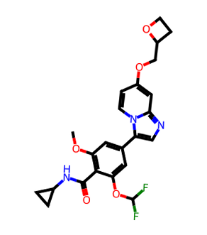 COc1cc(-c2cnc3cc(OCC4CCO4)ccn23)cc(OC(F)F)c1C(=O)NC1CC1